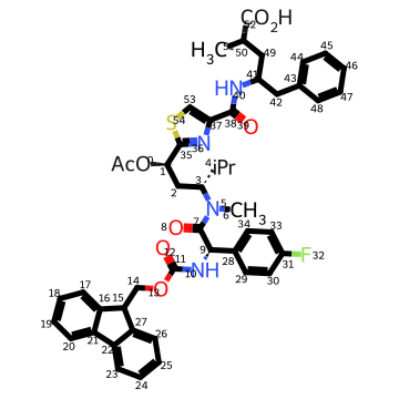 CC(=O)O[C@H](C[C@H](C(C)C)N(C)C(=O)[C@@H](NC(=O)OCC1c2ccccc2-c2ccccc21)c1ccc(F)cc1)c1nc(C(=O)NC(Cc2ccccc2)CC(C)C(=O)O)cs1